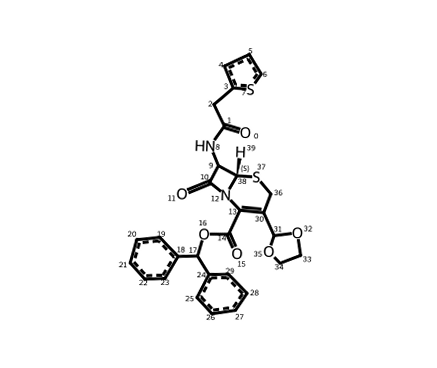 O=C(Cc1cccs1)NC1C(=O)N2C(C(=O)OC(c3ccccc3)c3ccccc3)=C(C3OCCO3)CS[C@@H]12